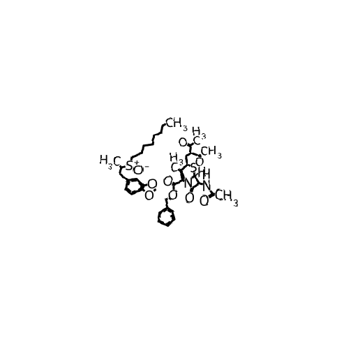 CC(=O)NC1C(=O)N2C(C(=O)OCc3ccccc3)=C(C)C(CC(C(C)=O)C(C)=O)S[C@H]12.CCCCCCCC[S+]([O-])C(C)Cc1ccc2c(c1)OCO2